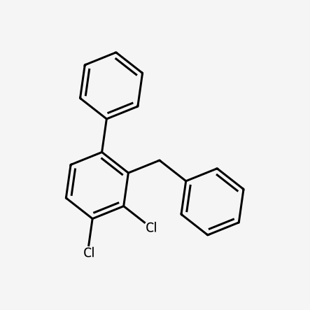 Clc1ccc(-c2ccccc2)c(Cc2ccccc2)c1Cl